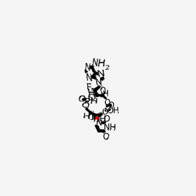 Nc1ncnc2c1ncn2[C@@H]1O[C@@H]2COP(=O)(O)O[C@@H]3[C@H](F)[C@@H](CO[PH](=O)O[C@H]2[C@H]1F)O[C@H]3n1ccc(=O)[nH]c1=O